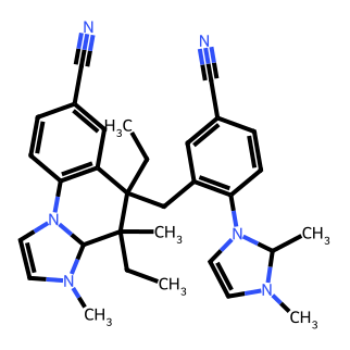 CCC1(Cc2cc(C#N)ccc2N2C=CN(C)C2C)c2cc(C#N)ccc2N2C=CN(C)C2C1(C)CC